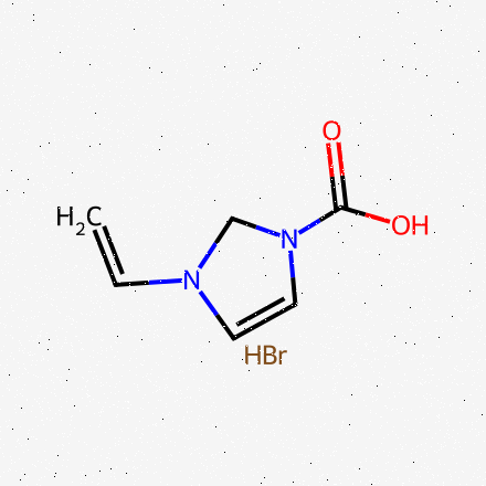 Br.C=CN1C=CN(C(=O)O)C1